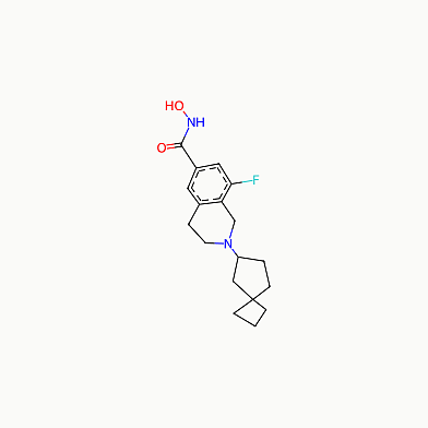 O=C(NO)c1cc(F)c2c(c1)CCN(C1CCC3(CCC3)C1)C2